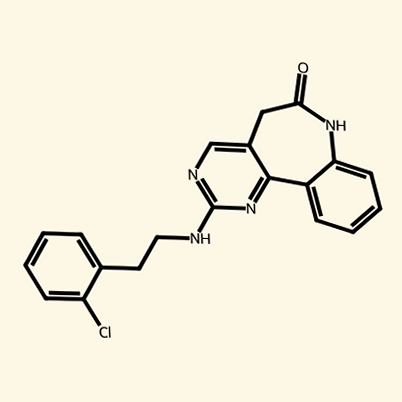 O=C1Cc2cnc(NCCc3ccccc3Cl)nc2-c2ccccc2N1